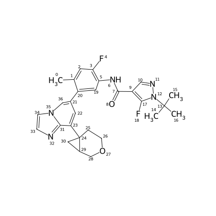 Cc1cc(F)c(NC(=O)c2cnn(C(C)(C)C)c2F)cc1-c1cc(C23CCOCC2C3)c2nccn2c1